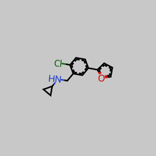 Clc1ccc(-c2ccco2)cc1CNC1CC1